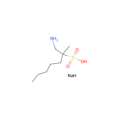 CCCCCC(C)(CN)S(=O)(=O)O.[NaH]